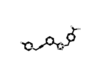 O=C(O)c1ccc(Cn2nnc(-c3cccc(C#CCn4ccc(=O)cc4)c3)n2)cc1